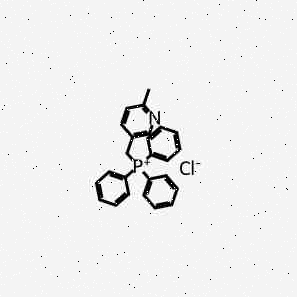 Cc1ccc(C[P+](c2ccccc2)(c2ccccc2)c2ccccc2)cn1.[Cl-]